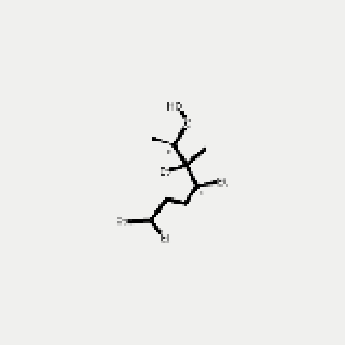 CCC(CC)CC[C@H](CC)C(C)(CC)[C@@H](C)OO